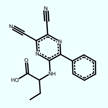 CCC(Nc1nc(C#N)c(C#N)nc1-c1ccccc1)C(=O)O